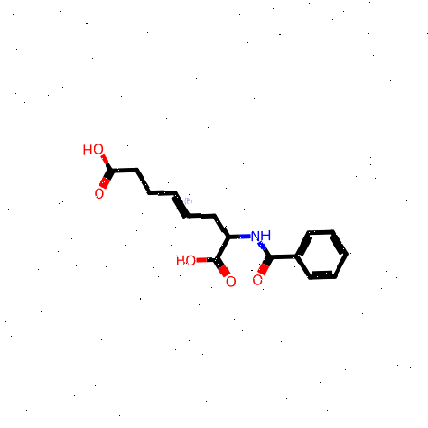 O=C(O)CC/C=C/CC(NC(=O)c1ccccc1)C(=O)O